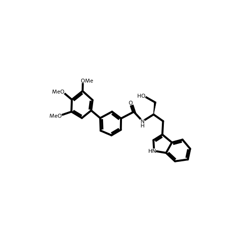 COc1cc(-c2cccc(C(=O)N[C@@H](CO)Cc3c[nH]c4ccccc34)c2)cc(OC)c1OC